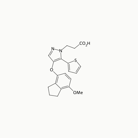 COc1ccc(Oc2cnn(CCC(=O)O)c2-c2cccs2)c2c1CCC2